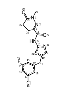 CN1N=C(C(=O)Nc2ncc(Cc3cc(F)cc(Cl)c3)s2)CCC1=O